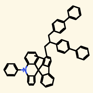 Cc1c(CC(Cc2ccc(-c3ccccc3)cc2)c2ccc(-c3ccccc3)cc2)ccc2c1C1(c3ccccc3-2)c2ccccc2N(c2ccccc2)c2ccccc21